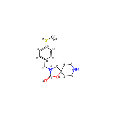 O=C1OC2(CCNCC2)CN1Cc1ccc(SC(F)(F)F)cc1